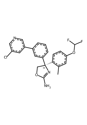 Cc1cc(OC(F)F)ccc1[C@@]1(c2cccc(-c3cncc(Cl)c3)c2)COC(N)=N1